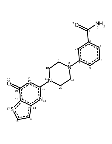 NC(=O)c1cccc(N2CCN(c3nc4ccsc4c(=O)s3)CC2)c1